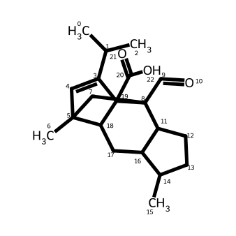 CC(C)C1=CC2(C)CC3(C=O)C4CCC(C)C4CC2C13C(=O)O